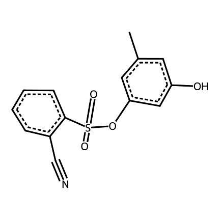 Cc1cc(O)cc(OS(=O)(=O)c2ccccc2C#N)c1